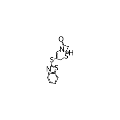 O=C1C[C@H]2SCC(Sc3nc4ccccc4s3)=CN12